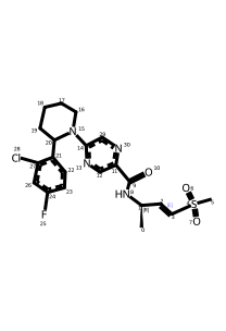 C[C@H](/C=C/S(C)(=O)=O)NC(=O)c1cnc(N2CCCCC2c2ccc(F)cc2Cl)cn1